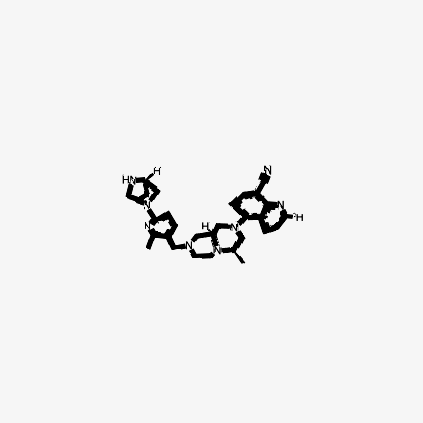 [2H]c1ccc2c(N3C[C@@H]4CN(Cc5ccc(N6C[C@@H]7CC6CN7)nc5C)CCN4[C@H](C)C3)ccc(C#N)c2n1